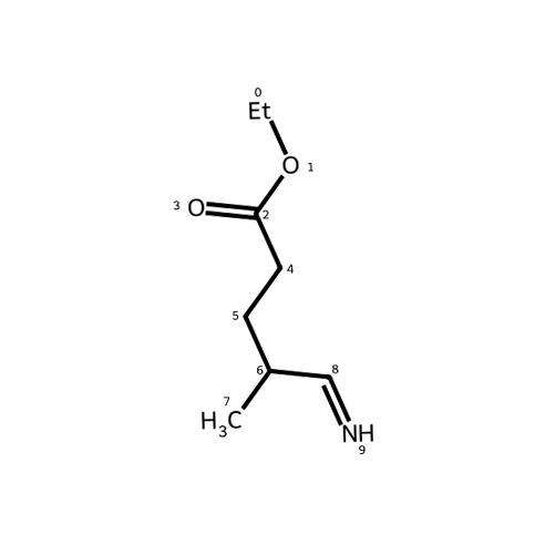 CCOC(=O)CCC(C)C=N